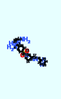 NC1=NC(N)(c2ccc(S(=O)(=O)N3CCCC(CNCc4cnccn4)C3)cc2)NC=C1